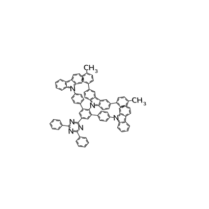 Cc1ccc(-c2ccc3c(c2)c2cc(-c4ccc(C)cc4)ccc2n3-c2c(-c3ccc(-n4c5ccccc5c5ccccc54)cc3)cc(-c3nc(-c4ccccc4)nc(-c4ccccc4)n3)cc2-c2ccc(-n3c4ccccc4c4ccccc43)cc2)cc1